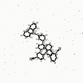 N#Cc1ccc(-n2c3ccccc3c3c(C#N)cccc32)c(-c2ccc(-c3cccc(-n4c5ccccc5c5ccccc54)c3)cc2)c1